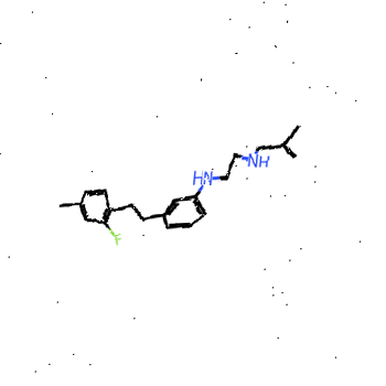 Cc1ccc(CCc2cccc(NCCNCC(C)C)c2)c(F)c1